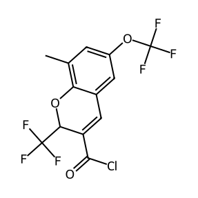 Cc1cc(OC(F)(F)F)cc2c1OC(C(F)(F)F)C(C(=O)Cl)=C2